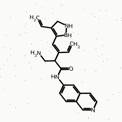 C=CC1=C(/C=C(\C=C)C(CN)C(=O)Nc2ccc3cnccc3c2)BNC1